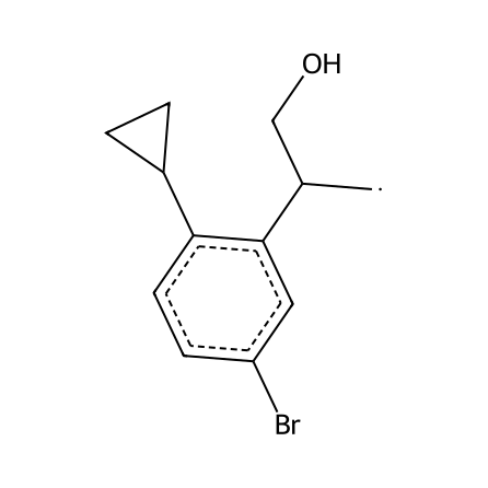 [CH2]C(CO)c1cc(Br)ccc1C1CC1